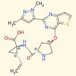 C=C[C@@H]1C[C@]1(NC(=O)[C@@H]1C[C@@H](Oc2nc(-c3cc(C)nn3C)nc3ccsc23)CN1)C(=O)O